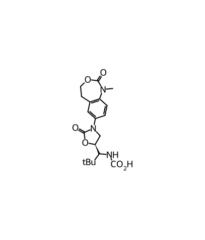 CN1C(=O)OCCc2cc(N3C[C@@H](C(NC(=O)O)C(C)(C)C)OC3=O)ccc21